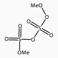 COOS(=O)(=O)OS(=O)(=O)OC